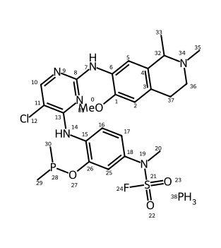 COc1cc2c(cc1Nc1ncc(Cl)c(Nc3ccc(N(C)S(=O)(=O)F)cc3OP(C)C)n1)C(C)N(C)CC2.P